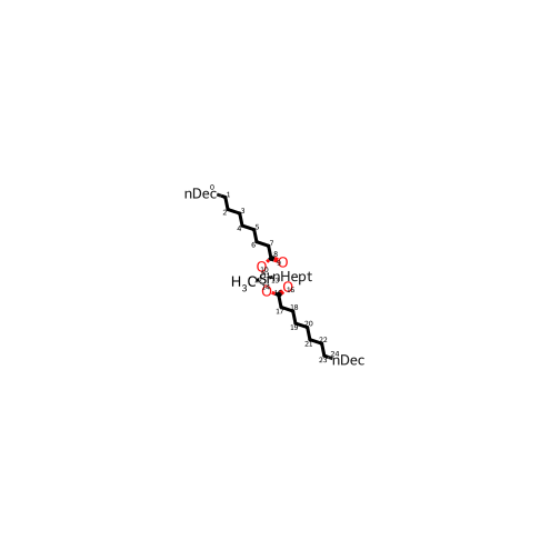 CCCCCCCCCCCCCCCCCC(=O)O[Si](C)(CCCCCCC)OC(=O)CCCCCCCCCCCCCCCCC